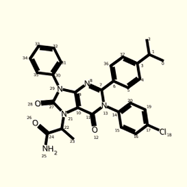 CC(C)c1ccc(-c2nc3c(c(=O)n2-c2ccc(Cl)cc2)n(C(C)C(N)=O)c(=O)n3-c2ccccc2)cc1